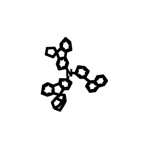 c1cc(-c2cccc3ccccc23)cc(N(c2ccc3c(c2)-c2ccccc2C32CCCC2)c2ccc3c(c2)-c2ccccc2C32C3CCC4CC(C3)CC2C4)c1